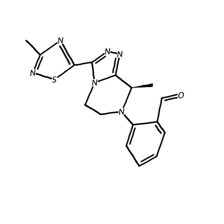 Cc1nsc(-c2nnc3n2CCN(c2ccccc2C=O)[C@@H]3C)n1